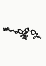 CNCCOc1ccc(-c2cnc([C@H]3CC[C@H](OC(N)=O)CC3)s2)c(S(=O)(=O)NC(C)(C)C)c1